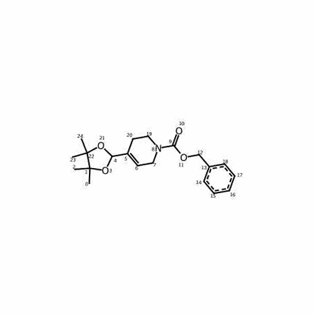 CC1(C)OC(C2=CCN(C(=O)OCc3ccccc3)CC2)OC1(C)C